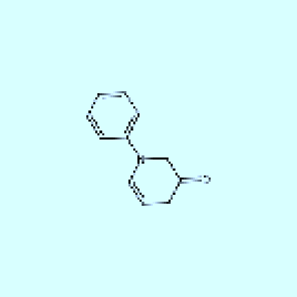 O=C1CC=CN(c2ccccc2)C1